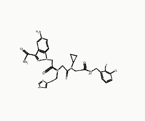 NC(=O)c1nn(CC(=O)N(CC(=O)N(CC(=O)NCc2cccc(Cl)c2F)C2CC2)Cc2c[nH]cn2)c2ccc(N)cc12